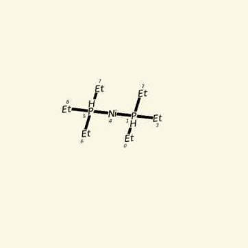 CC[PH](CC)(CC)[Ni][PH](CC)(CC)CC